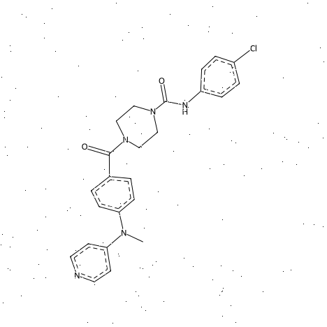 CN(c1ccncc1)c1ccc(C(=O)N2CCN(C(=O)Nc3ccc(Cl)cc3)CC2)cc1